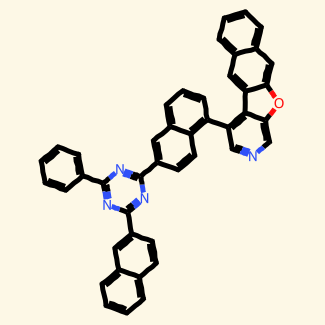 c1ccc(-c2nc(-c3ccc4ccccc4c3)nc(-c3ccc4c(-c5cncc6oc7cc8ccccc8cc7c56)cccc4c3)n2)cc1